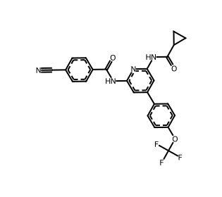 N#Cc1ccc(C(=O)Nc2cc(-c3ccc(OC(F)(F)F)cc3)cc(NC(=O)C3CC3)n2)cc1